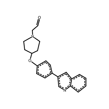 O=CCN1CCC(Oc2ccc(-c3cnc4ccccc4c3)cc2)CC1